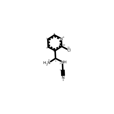 N#CNC(N)c1cccnc1Cl